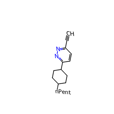 C#Cc1ccc(C2CCC(CCCCC)CC2)nn1